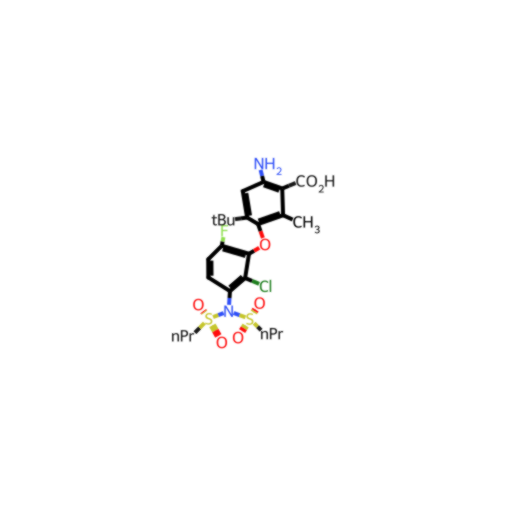 CCCS(=O)(=O)N(c1ccc(F)c(Oc2c(C(C)(C)C)cc(N)c(C(=O)O)c2C)c1Cl)S(=O)(=O)CCC